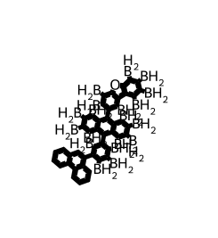 Bc1c(B)c(-c2cc3ccccc3c3ccccc23)c(B)c(-c2c3c(B)c(B)c(B)c(B)c3c(-c3c(B)c(B)c4oc5c(B)c(B)c(B)c(B)c5c4c3B)c3c(B)c(B)c(B)c(B)c23)c1B